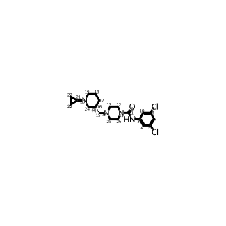 O=C(Nc1cc(Cl)cc(Cl)c1)N1CCN(C[C@H]2CCCN(C3CC3)C2)CC1